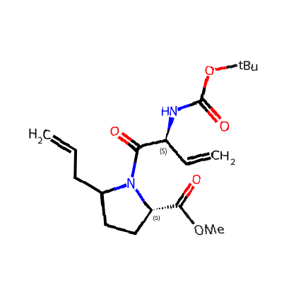 C=CCC1CC[C@@H](C(=O)OC)N1C(=O)[C@H](C=C)NC(=O)OC(C)(C)C